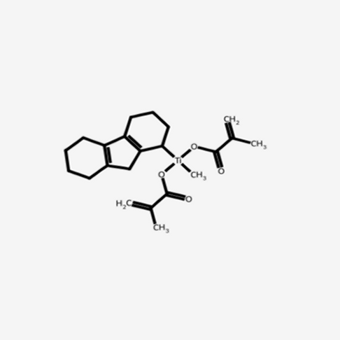 C=C(C)C(=O)[O][Ti]([CH3])([O]C(=O)C(=C)C)[CH]1CCCC2=C1CC1=C2CCCC1